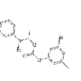 CCc1cc(C)cc(OC(=O)OC(C)N(CC)c2ccccc2)c1